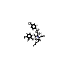 CCCCC(C)(C)/C(C#N)=C(/NONc1ccc(Cl)cc1F)C(=O)N(C)Cc1cccc(F)c1F